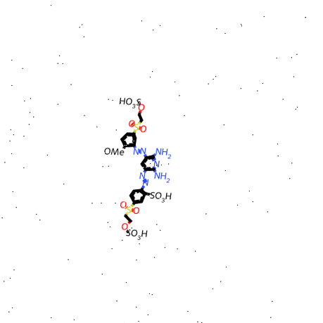 COc1ccc(S(=O)(=O)CCOS(=O)(=O)O)cc1/N=N/c1cc(/N=N/c2ccc(S(=O)(=O)CCOS(=O)(=O)O)cc2S(=O)(=O)O)c(N)nc1N